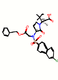 CC(C)(C)[C@@](C)(C(=O)O)N1CC[C@H](N(CC(=O)OCc2ccccc2)S(=O)(=O)c2ccc3cc(Cl)ccc3c2)C1=O